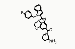 NC1CCCN(C(=O)c2cc3c4c(c2)nc(-c2cc5ccccc5n2Cc2ccc(F)cc2)n4CCO3)C1